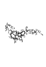 C[C@@H](Cc1sccc1C(F)(F)F)Nc1cc[nH]c(=O)c1-c1nc2cc3c(cc2[nH]1)CN(CCN1CCCC1)C3=O